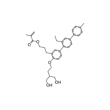 C=C(C)C(=O)OCCCc1cc(-c2ccc(-c3ccc(C)cc3)cc2CC)ccc1OCCC(CO)CO